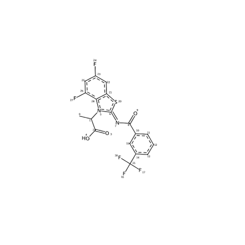 CC(C(=O)O)n1c(=NC(=O)c2cccc(C(F)(F)F)c2)sc2cc(F)cc(F)c21